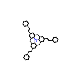 C(=C\c1cc2c3c(c1)Cc1cc(/C=C/c4ccccc4)cc4c1N3c1c(cc(/C=C/c3ccccc3)cc1C4)C2)/c1ccccc1